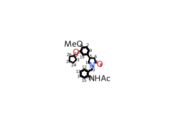 COc1ccc(C2CC(=O)N(Cc3ccccc3NC(C)=O)C2)cc1OC1CCCC1